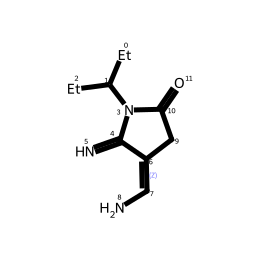 CCC(CC)N1C(=N)/C(=C\N)CC1=O